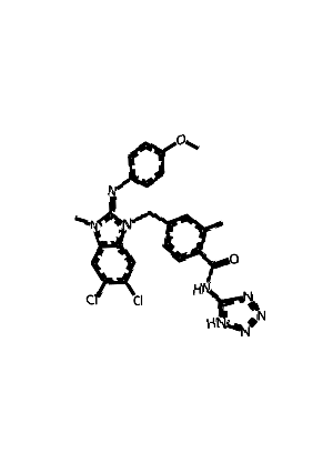 COc1ccc(N=c2n(C)c3cc(Cl)c(Cl)cc3n2Cc2ccc(C(=O)Nc3nnn[nH]3)c(C)c2)cc1